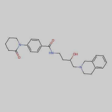 O=C(NCCC(O)CN1CCc2ccccc2C1)c1ccc(N2CCCCC2=O)cc1